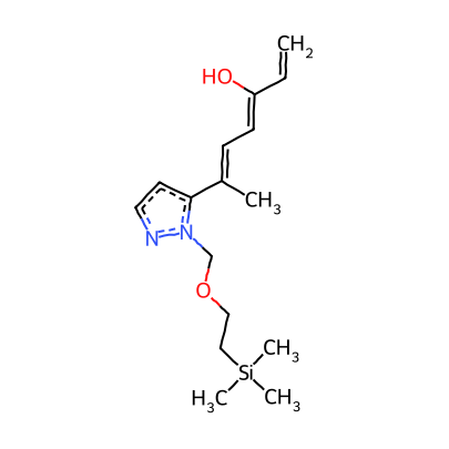 C=CC(O)=CC=C(C)c1ccnn1COCC[Si](C)(C)C